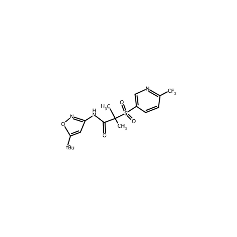 CC(C)(C)c1cc(NC(=O)C(C)(C)S(=O)(=O)c2ccc(C(F)(F)F)nc2)no1